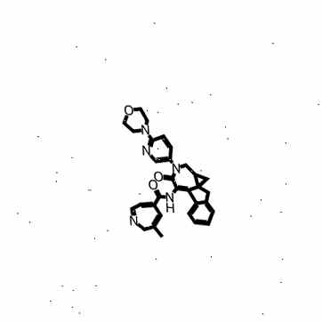 CC1=CC(C(=O)NC2=C3c4ccccc4CC34CC4CN(c3ccc(N4CCOCC4)nc3)C2=O)=CC=NC1